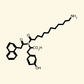 NCCCCCCCCCCCC(=O)N(C(=O)Cc1cccc2ccccc12)C(Cc1ccc(O)cc1)C(=O)O